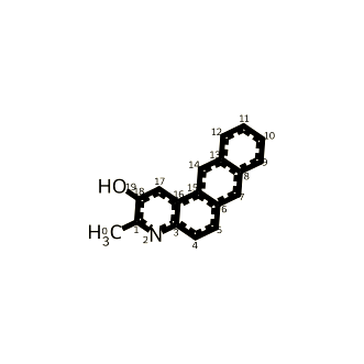 Cc1nc2ccc3cc4ccccc4cc3c2cc1O